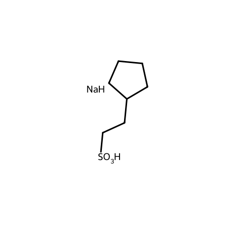 O=S(=O)(O)CCC1CCCC1.[NaH]